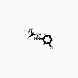 NC(=O)NNc1cccc(Cl)c1